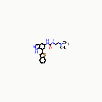 CN(C)CCNC(=O)Nc1cc(-c2cc3ccccc3s2)c2[nH]ncc2c1